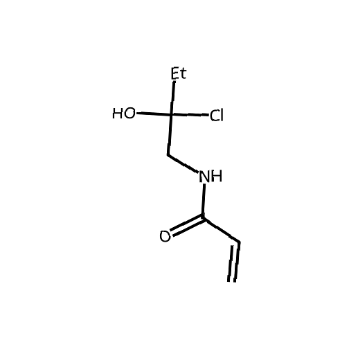 C=CC(=O)NCC(O)(Cl)CC